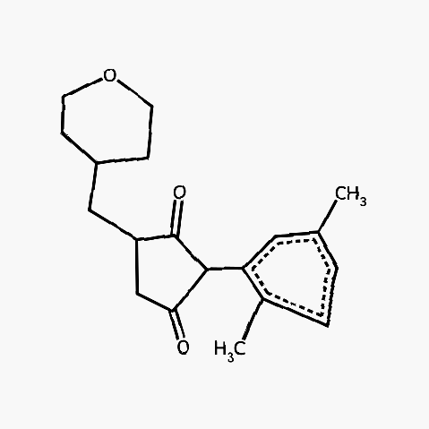 Cc1ccc(C)c(C2C(=O)CC(CC3CCOCC3)C2=O)c1